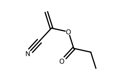 C=C(C#N)OC(=O)CC